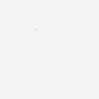 O=C(O)N(Cc1ccc(Br)cc1)Cc1ccc(C(F)(F)F)o1